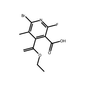 C=C(OCC)c1c(C)c(Br)nc(F)c1C(=O)O